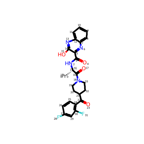 CC(C)[C@H](NC(=O)c1nc2ccccc2nc1O)C(=O)N1CCC(C(=O)c2ccc(F)cc2F)CC1